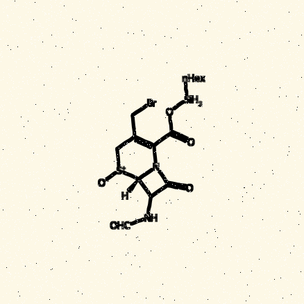 CCCCCC[SiH2]OC(=O)C1=C(CBr)C[S+]([O-])[C@H]2C(NC=O)C(=O)N12